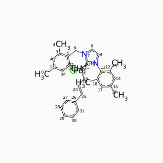 Cc1cc(C)c(Cn2ccn(-c3c(C)cc(C)cc3C)[c]2=[Pd-2]([Cl])[CH2]C=Cc2ccccc2)c(C)c1